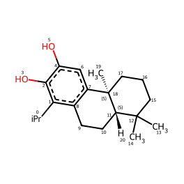 CC(C)c1c(O)c(O)cc2c1CC[C@H]1C(C)(C)CCC[C@]21C